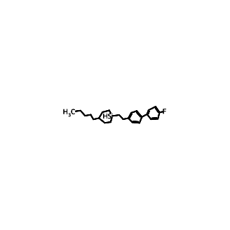 CCCCCC1CC[SiH](CCc2ccc(-c3ccc(F)cc3)cc2)CC1